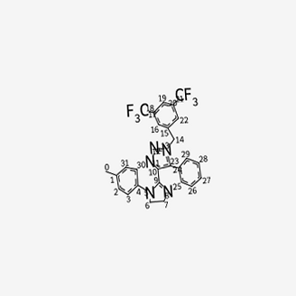 Cc1ccc(N2CCN=C2c2nnn(Cc3cc(C(F)(F)F)cc(C(F)(F)F)c3)c2-c2ccccc2)cc1